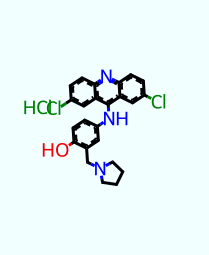 Cl.Oc1ccc(Nc2c3cc(Cl)ccc3nc3ccc(Cl)cc23)cc1CN1CCCC1